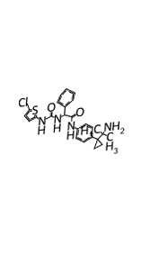 CC(C)(N)C1(c2ccc(NC(=O)C(NC(=O)Nc3ccc(Cl)s3)c3ccccc3)cc2)CC1